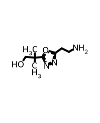 CC(C)(CO)c1nnc(CCN)o1